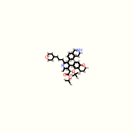 Cc1nc(CCCC2CCOCC2)c(-c2ccc3c(c2)CCNC3)c(-c2ccc3c(c2)CCCO3)c1[C@H](OC(C)(C)C)C(=O)OC(C)C